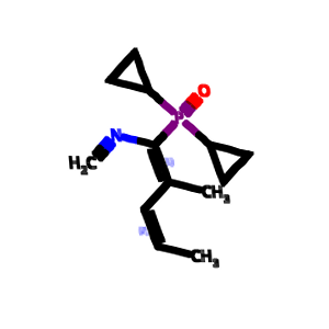 C=N/C(=C(C)\C=C/C)P(=O)(C1CC1)C1CC1